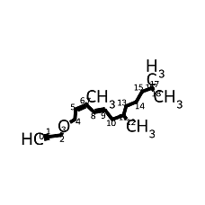 C#CCOCC=C(C)C=CCC(C)CCCC(C)C